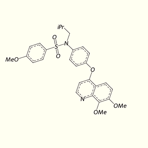 COc1ccc(S(=O)(=O)N(CC(C)C)c2ccc(Oc3ccnc4c(OC)c(OC)ccc34)cc2)cc1